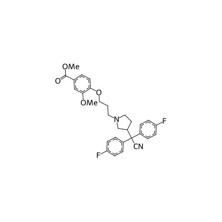 COC(=O)c1ccc(OCCCN2CCC(C(C#N)(c3ccc(F)cc3)c3ccc(F)cc3)C2)c(OC)c1